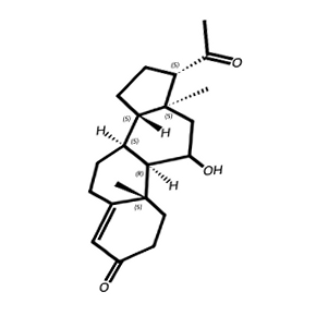 CC(=O)[C@H]1CC[C@H]2[C@@H]3CCC4=CC(=O)CC[C@@]4(C)[C@@H]3C(O)C[C@]12C